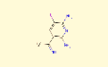 CC(=N)c1cc(I)c(N)nc1N